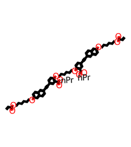 C=CC(=O)OCCCCCCOc1ccc2cc(C#Cc3ccc(OCCCCCCOc4ccc(C#Cc5ccc6cc(OCCCCCCOC(=O)C=C)ccc6c5)cc4C(=O)OCCC)c(C(=O)OCCC)c3)ccc2c1